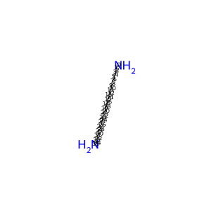 NCCCCCCCCCCCCCCCCCCCCCCCCCCCCCCCCCCN